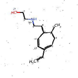 C=CC1=CCC(C)C(CCNCCO)C=C1